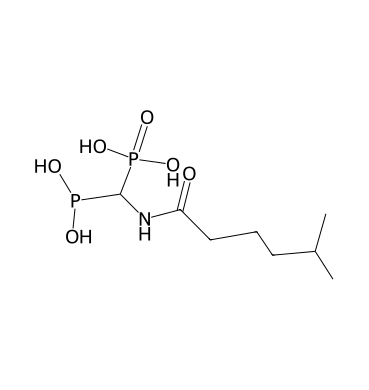 CC(C)CCCC(=O)NC(P(O)O)P(=O)(O)O